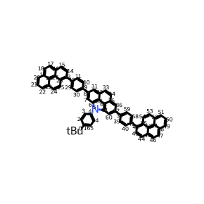 CC(C)(C)c1ccc(-n2c3cc(-c4ccc(-c5ccc6ccc7cccc8ccc5c6c78)cc4)cc4ccc5cc(-c6ccc(-c7ccc8ccc9cccc%10ccc7c8c9%10)cc6)cc2c5c43)cc1